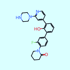 O=C1CCCCN1c1ccc(-c2cccc(-c3ccnc(N4CCNCC4)c3)c2O)cc1F